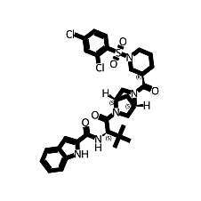 CC(C)(C)[C@H](NC(=O)c1cc2ccccc2[nH]1)C(=O)N1C[C@@H]2C[C@H]1CN2C(=O)[C@@H]1CCCN(S(=O)(=O)c2ccc(Cl)cc2Cl)C1